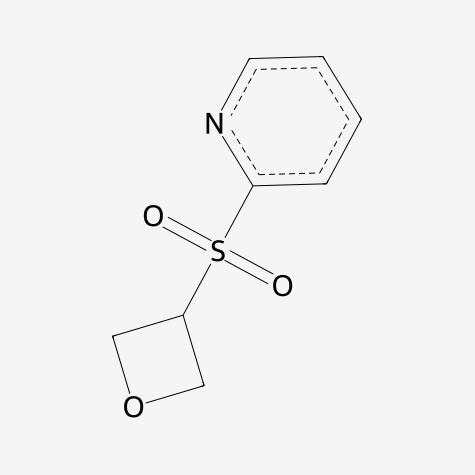 O=S(=O)(c1ccccn1)C1COC1